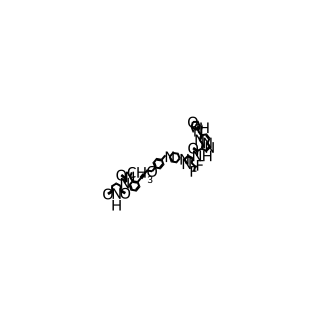 Cn1c(=O)n(C2CCC(=O)NC2=O)c2cccc(C#CCOc3ccc(CN4CCC(n5cc(NC(=O)c6cnn7ccc(N8CC9C[C@@H]8CO9)nc67)c(C(F)F)n5)CC4)cc3)c21